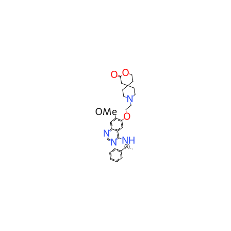 COc1cc2ncnc(N[C@H](C)c3ccccc3)c2cc1OCCN1CCC2(CCOC(=O)C2)CC1